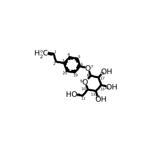 C=CCc1ccc(OC2OC(CO)C(O)C(O)C2O)cc1